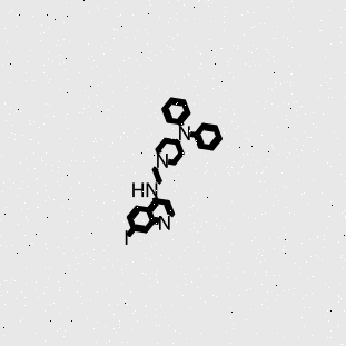 Ic1ccc2c(NCCN3CCC(N(c4ccccc4)c4ccccc4)CC3)ccnc2c1